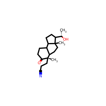 C[C@H](O)C1CCC2C3CCC(=O)[C@@](C)(CCC#N)C3CCC21C